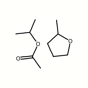 CC(=O)OC(C)C.CC1CCCO1